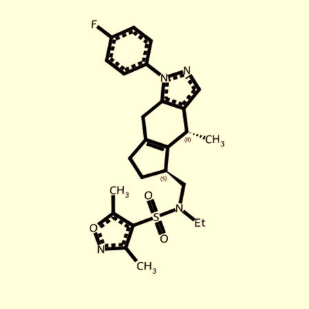 CCN(C[C@H]1CCC2=C1[C@@H](C)c1cnn(-c3ccc(F)cc3)c1C2)S(=O)(=O)c1c(C)noc1C